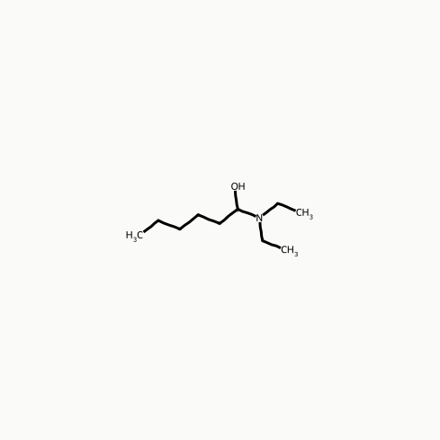 CCCCC[C](O)N(CC)CC